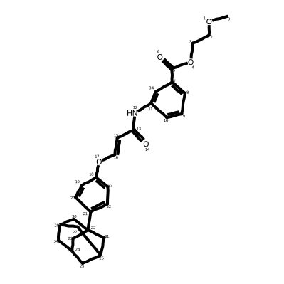 COCCOC(=O)c1cccc(NC(=O)C=COc2ccc(C34CC5CC(CC(C5)C3)C4)cc2)c1